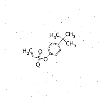 C=CS(=O)(=O)Oc1ccc(C(C)(C)C)cc1